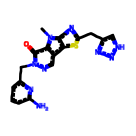 Cn1c2nc(Cc3c[nH]nn3)sc2c2cnn(Cc3cccc(N)n3)c(=O)c21